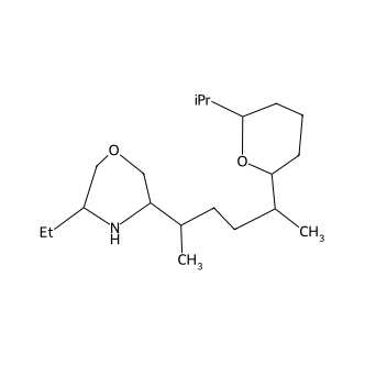 CCC1COCC(C(C)CCC(C)C2CCCC(C(C)C)O2)N1